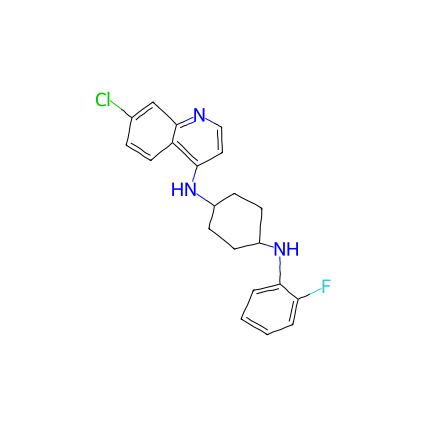 Fc1ccccc1NC1CCC(Nc2ccnc3cc(Cl)ccc23)CC1